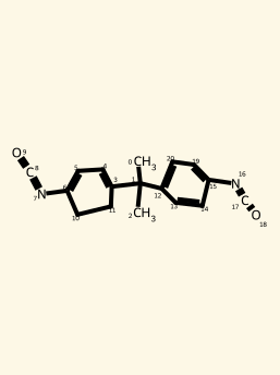 CC(C)(C1=CC=C(N=C=O)CC1)c1ccc(N=C=O)cc1